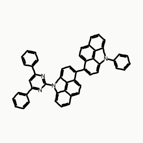 c1ccc(-c2cc(-c3ccccc3)nc(-n3c4cccc5ccc6c(-c7ccc8c9c7ccc7cccc(c79)n8-c7ccccc7)ccc3c6c54)n2)cc1